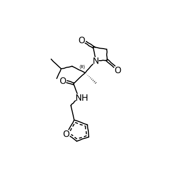 CC(C)C[C@](C)(C(=O)NCc1ccco1)N1C(=O)CC1=O